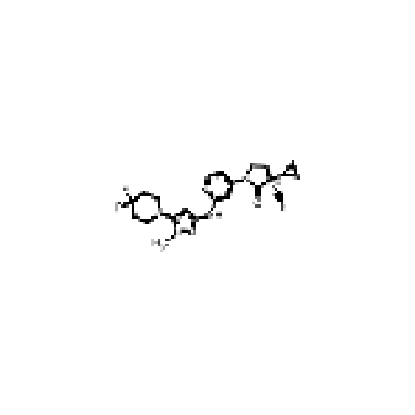 Cn1nc(Nc2cc(N3CC[C@@](C#N)(C4CC4)C3=O)ccn2)cc1N1CCC(F)(F)CC1